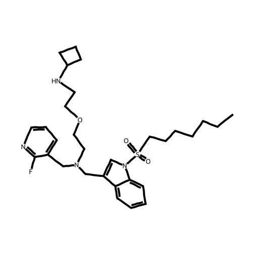 CCCCCCCS(=O)(=O)n1cc(CN(CCOCCNC2CCC2)Cc2cccnc2F)c2ccccc21